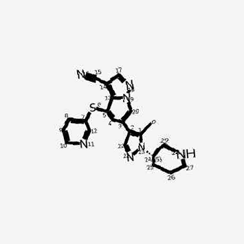 Cc1c(-c2cc(Sc3cccnc3)c3c(C#N)cnn3c2)cnn1[C@H]1CCCNC1